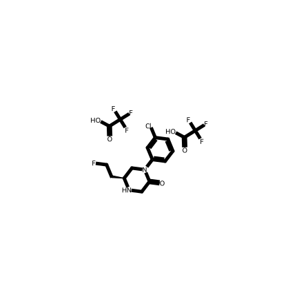 O=C(O)C(F)(F)F.O=C(O)C(F)(F)F.O=C1CN[C@@H](CCF)CN1c1cccc(Cl)c1